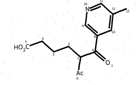 CC(=O)C(CCCC(=O)O)C(=O)c1cncc(C)c1